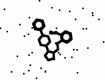 COc1ccccc1OCC1SCCN1N1CCN(c2ccccc2)CC1